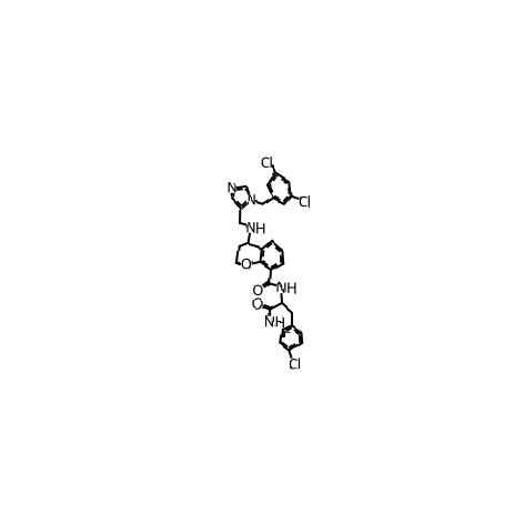 NC(=O)C(Cc1ccc(Cl)cc1)NC(=O)c1cccc2c1OCCC2NCc1cncn1Cc1cc(Cl)cc(Cl)c1